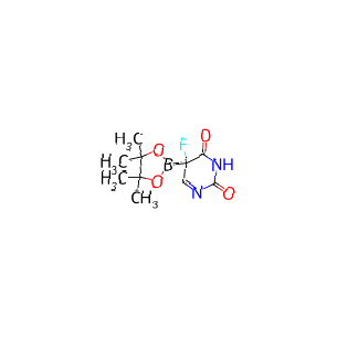 CC1(C)OB(C2(F)C=NC(=O)NC2=O)OC1(C)C